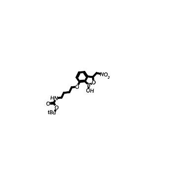 CC(C)(C)OC(=O)NCCCCOc1cccc2c1B(O)OC2C[N+](=O)[O-]